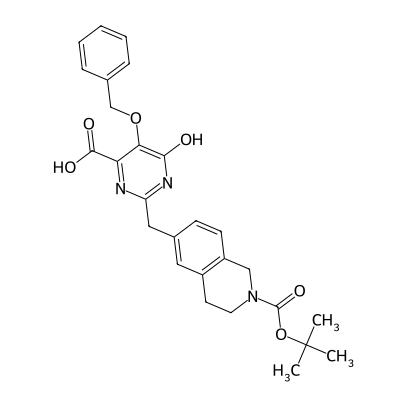 CC(C)(C)OC(=O)N1CCc2cc(Cc3nc(O)c(OCc4ccccc4)c(C(=O)O)n3)ccc2C1